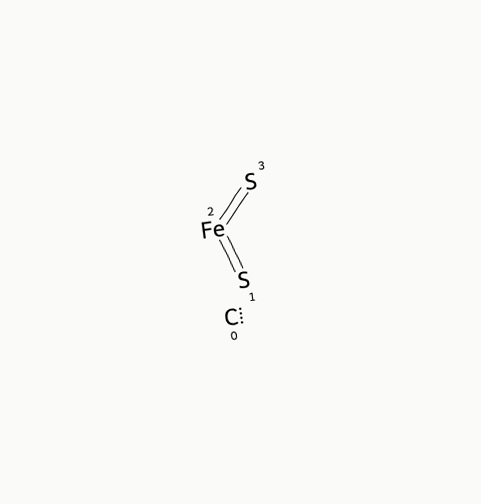 [C].[S]=[Fe]=[S]